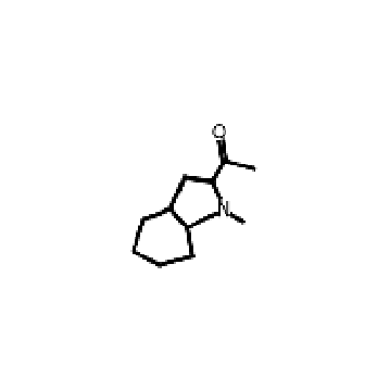 CC(=O)C1CC2CCCCC2N1C